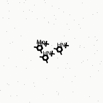 Cc1cc(C)cc(NC(C)(C)C)c1.Cc1cc(C)cc(NC(C)(C)C)c1.Cc1cc(C)cc(NC(C)(C)C)c1.[Mo]